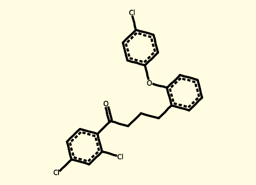 O=C(CCCc1ccccc1Oc1ccc(Cl)cc1)c1ccc(Cl)cc1Cl